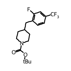 CC(C)(C)OC(=O)N1CCC(Cc2ccc(C(F)(F)F)cc2F)CC1